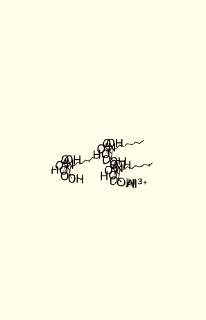 CCCCCCCCN(O)[C@@](O)(CC(=O)O)C(=O)[O-].CCCCCCCCN(O)[C@@](O)(CC(=O)O)C(=O)[O-].CCCCCCCCN(O)[C@@](O)(CC(=O)O)C(=O)[O-].[Al+3]